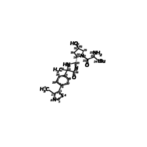 Cc1ncsc1-c1ccc(C2(C)NC([C@@H]3C[C@@H](O)CN3C(=O)C(N)C(C)(C)C)=NC2=O)cc1